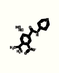 CC(N)c1ccc(C(=O)Nc2ccncc2)cc1[N+](=O)[O-].Cl.Cl